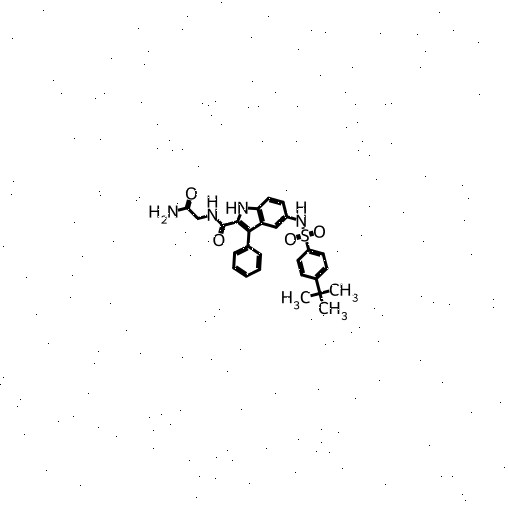 CC(C)(C)c1ccc(S(=O)(=O)Nc2ccc3[nH]c(C(=O)NCC(N)=O)c(-c4ccccc4)c3c2)cc1